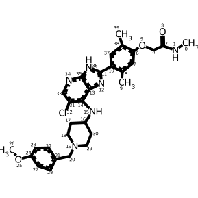 CNC(=O)COc1cc(C)c(-c2nc3c(NC4CCN(Cc5ccc(OC)cc5)CC4)c(Cl)cnc3[nH]2)cc1C